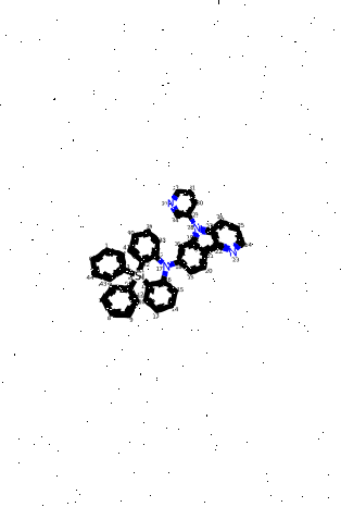 c1ccc([Si]2(c3ccccc3)c3ccccc3N(c3ccc4c5ncccc5n(-c5cccnc5)c4c3)c3ccccc32)cc1